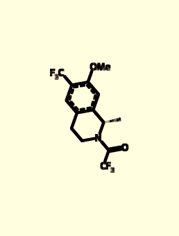 COc1cc2c(cc1C(F)(F)F)CCN(C(=O)C(F)(F)F)[C@H]2C